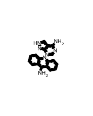 Nc1c2ccccc2nc2ccccc12.Nc1ncnc2n[nH]cc12